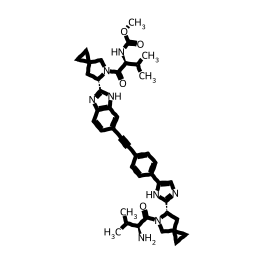 COC(=O)N[C@H](C(=O)N1CC2(CC2)C[C@H]1c1nc2ccc(C#Cc3ccc(-c4cnc([C@@H]5CC6(CC6)CN5C(=O)[C@@H](N)C(C)C)[nH]4)cc3)cc2[nH]1)C(C)C